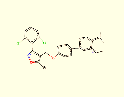 C/C=c1/cc(-c2ccc(OCc3c(-c4c(Cl)cccc4Cl)noc3C(C)C)cc2)ccc1=C(C)C